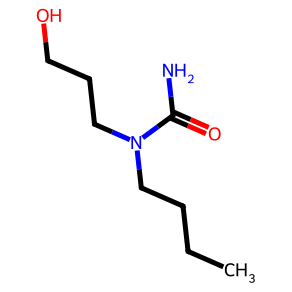 CCCCN(CCCO)C(N)=O